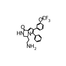 NCCC1CNC(=O)c2cc(-c3cccc(OC(F)(F)F)c3)c(-c3ccccc3)n21